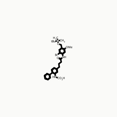 COc1cc(NC(=O)CCCc2ccc(-c3ccccc3)c(NC(=O)O)c2)c(Br)cc1CO[Si](C)(C)C(C)(C)C